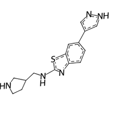 c1cc2nc(NCC3CCNC3)sc2cc1-c1cn[nH]c1